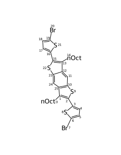 CCCCCCCCc1c(-c2ccc(Br)s2)sc2cc3c(CCCCCCCC)c(-c4ccc(Br)s4)sc3cc12